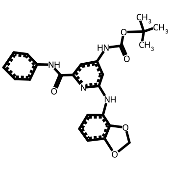 CC(C)(C)OC(=O)Nc1cc(Nc2cccc3c2OCO3)nc(C(=O)Nc2ccccc2)c1